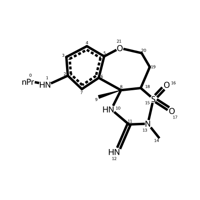 CCCNc1ccc2c(c1)[C@@]1(C)NC(=N)N(C)S(=O)(=O)C1CCO2